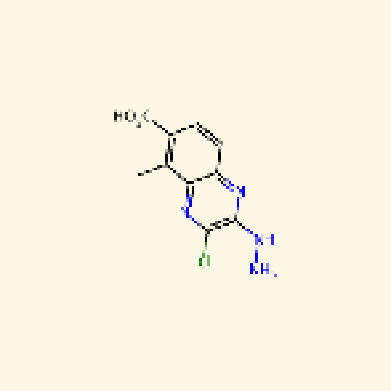 Cc1c(C(=O)O)ccc2nc(NN)c(Cl)nc12